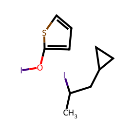 CC(I)CC1CC1.IOc1cccs1